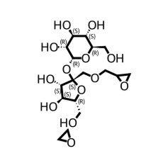 C1CO1.OC[C@H]1O[C@@](COCC2CO2)(O[C@H]2O[C@H](CO)[C@@H](O)[C@H](O)[C@H]2O)[C@@H](O)[C@@H]1O